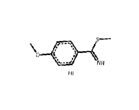 COc1ccc(C(=N)SC)cc1.I